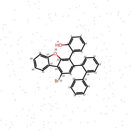 Oc1ccccc1-c1c(-c2ccccc2-c2ccccc2)cc(Br)c2c1oc1ccccc12